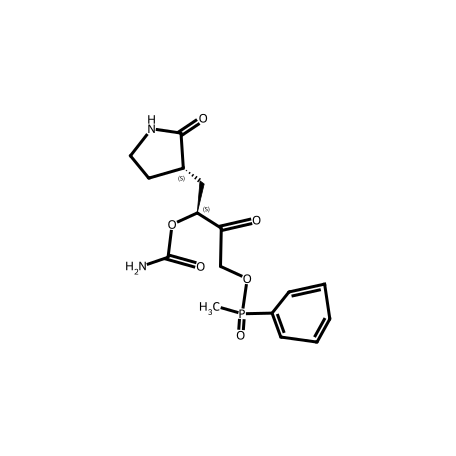 CP(=O)(OCC(=O)[C@H](C[C@@H]1CCNC1=O)OC(N)=O)c1ccccc1